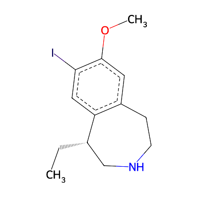 CC[C@H]1CNCCc2cc(OC)c(I)cc21